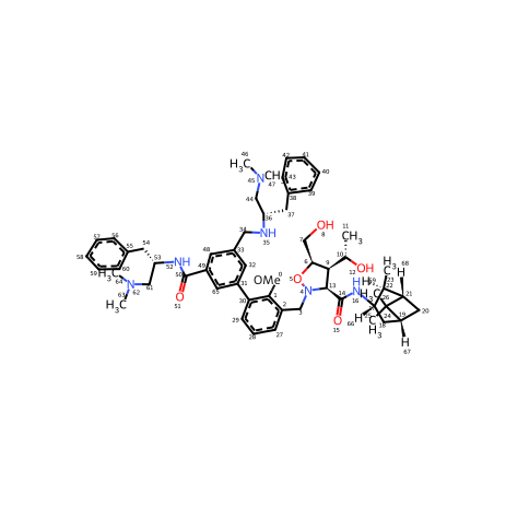 COc1c(CN2O[C@@H](CO)[C@@H]([C@H](C)O)[C@H]2C(=O)N[C@H]2C[C@H]3C[C@@H]([C@@H]2C)C3(C)C)cccc1-c1cc(CN[C@@H](Cc2ccccc2)CN(C)C)cc(C(=O)N[C@@H](Cc2ccccc2)CN(C)C)c1